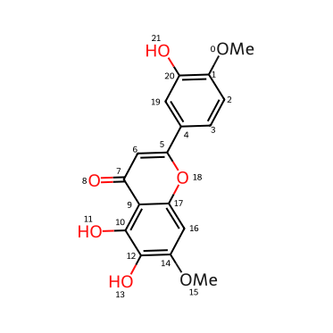 COc1ccc(-c2cc(=O)c3c(O)c(O)c(OC)cc3o2)cc1O